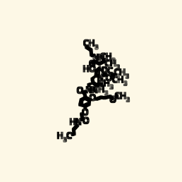 CCCCNC(=O)COc1ccc(C(=O)NC[C@@H](C[C@H](NC(=O)OC(C)(C)C)[C@@H](O)C[C@H](C(=O)NCCCC)C(C)C)C(C)C)c(OCCCCOC)c1